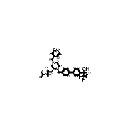 CC(C)NC(=O)C[C@H]1CN(Cc2ccncc2)CCN1Cc1ccc(-c2ccc(C(C)(O)C(F)(F)F)cc2)cc1